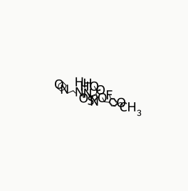 COc1ccc(COc2nsc(NC(=O)NCCCN3CCOCC3)c2C(=O)O)c(F)c1